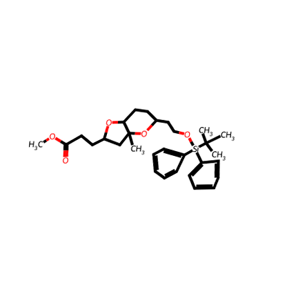 COC(=O)CCC1CC2(C)OC(CCO[Si](c3ccccc3)(c3ccccc3)C(C)(C)C)CCC2O1